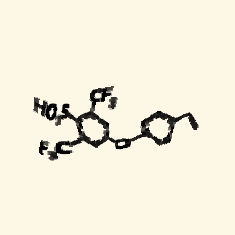 C=Cc1ccc(Oc2cc(C(F)(F)F)c(S(=O)(=O)O)c(C(F)(F)F)c2)cc1